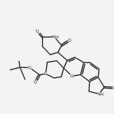 CC(C)(C)OC(=O)N1CCC2(CC1)Oc1c(ccc3c1CNC3=O)C=C2C1CCC(=O)NC1=O